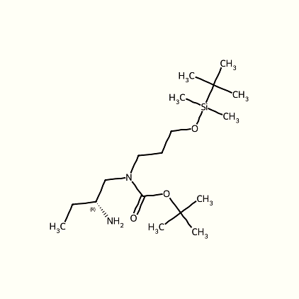 CC[C@@H](N)CN(CCCO[Si](C)(C)C(C)(C)C)C(=O)OC(C)(C)C